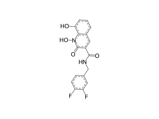 O=C(NCc1ccc(F)c(F)c1)c1cc2cccc(O)c2n(O)c1=O